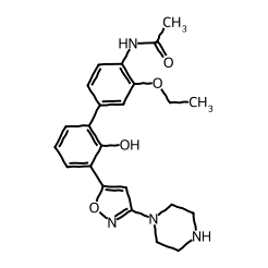 CCOc1cc(-c2cccc(-c3cc(N4CCNCC4)no3)c2O)ccc1NC(C)=O